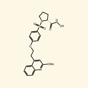 COc1cc(CCOc2ccc(S(=O)(=O)N3CCC[C@@H]3C(=O)NO)cc2)c2ccccc2n1